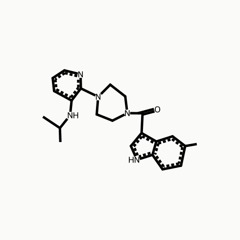 Cc1ccc2[nH]cc(C(=O)N3CCN(c4ncccc4NC(C)C)CC3)c2c1